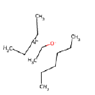 CCCCCC.CC[O-].C[CH2][Al+][CH2]C